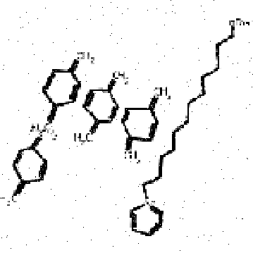 C=c1ccc(=C)cc1.C=c1ccc(=C)cc1.C=c1ccc(=C)cc1.C=c1ccc(=C)cc1.CCCCCCCCCCCCCCCCCCCCCC[n+]1ccccc1